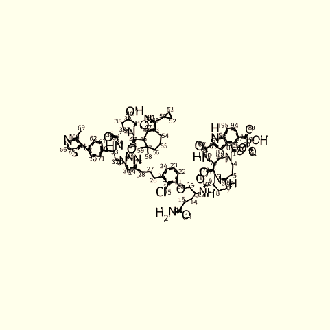 CC(=O)N1CC[C@H]2CC[C@@H](C(=O)N[C@@H](CCC(N)=O)COc3cccc(CCCc4cn(C[C@H](NC(=O)[C@@H]5C[C@@H](O)CN5C(=O)[C@H]5c6onc(C7CC7)c6CCCC5(C)C)c5ccc(-c6scnc6C)cc5)nn4)c3Cl)N2C(=O)[C@@H](NC(=O)c2cc3cc(C(=O)P(=O)(O)O)ccc3[nH]2)C1